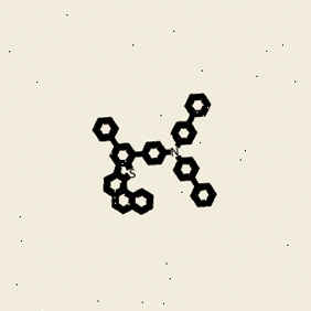 c1ccc(-c2ccc(N(c3ccc(-c4ccccc4)cc3)c3ccc(-c4cc(-c5ccccc5)cc5c4sc4c5ccc5ccc6ccccc6c54)cc3)cc2)cc1